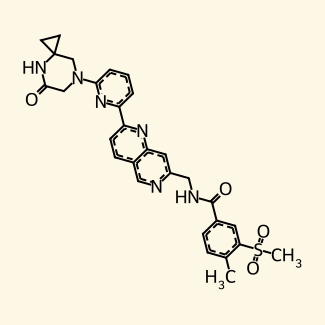 Cc1ccc(C(=O)NCc2cc3nc(-c4cccc(N5CC(=O)NC6(CC6)C5)n4)ccc3cn2)cc1S(C)(=O)=O